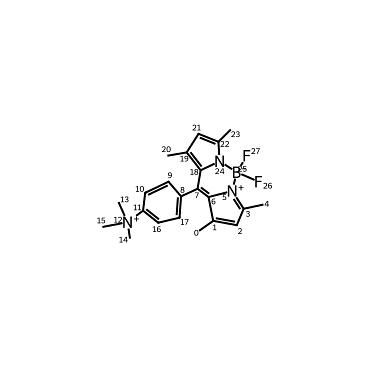 CC1=CC(C)=[N+]2C1=C(c1ccc([N+](C)(C)C)cc1)c1c(C)cc(C)n1[B-]2(F)F